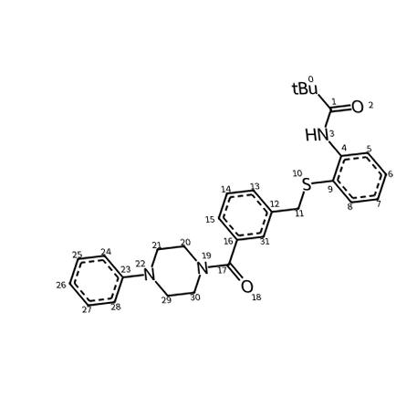 CC(C)(C)C(=O)Nc1ccccc1SCc1cccc(C(=O)N2CCN(c3ccccc3)CC2)c1